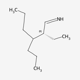 CCCC(CCC)[C@H](C=N)CC